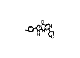 Cc1ccc([C@H]2Cn3c(nn4c(C5CCOCC5)ncc4c3=O)N2)cc1